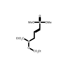 CCOC(=O)ON(CC=CP(=O)(OC)OC)C(=O)OCC